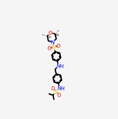 CC(C)S(=O)(=O)Nc1ccc(CNc2ccc(S(=O)(=O)N3C[C@@H](C)O[C@@H](C)C3)cc2)cc1